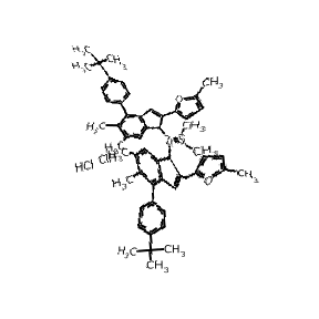 Cc1ccc(C2=Cc3c(cc(C)c(C)c3-c3ccc(C(C)(C)C)cc3)[CH]2[Zr]([CH]2C(c3ccc(C)o3)=Cc3c2cc(C)c(C)c3-c2ccc(C(C)(C)C)cc2)=[Si](C)C)o1.Cl.Cl